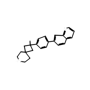 O=C(O)C1(c2ccc(-c3ccc4cccnc4c3)cc2)CC2(CCNCC2)C1